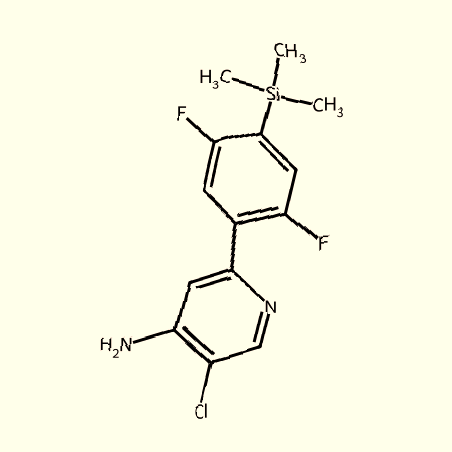 C[Si](C)(C)c1cc(F)c(-c2cc(N)c(Cl)cn2)cc1F